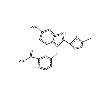 COC(=O)c1cccc(Cc2c(-c3ccc(C)o3)[nH]c3cc(OC)ccc23)n1